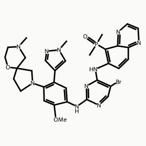 COc1cc(N2CCC3(CN(C)CCO3)C2)c(-c2cnn(C)c2)cc1Nc1ncc(Br)c(Nc2ccc3nccnc3c2P(C)(C)=O)n1